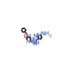 Nc1ccc(-c2nnn(Cc3ccc(OCc4ccccc4)cn3)n2)c(N)n1